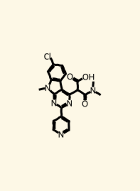 CN(C)C(=O)C(C(=O)O)c1nc(-c2ccncc2)nc2c1c1ccc(Cl)cc1n2C